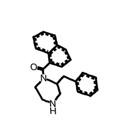 O=C(c1cccc2ccccc12)N1CCNCC1Cc1ccccc1